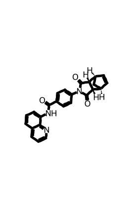 O=C(Nc1cccc2cccnc12)c1ccc(N2C(=O)[C@@H]3[C@H](C2=O)[C@H]2C=C[C@@H]3C2)cc1